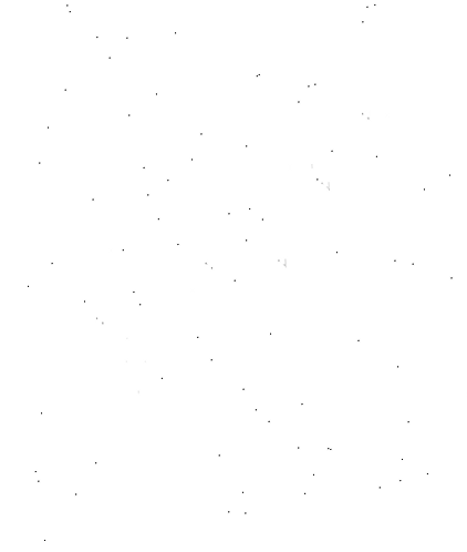 Cc1cc[n+]([O-])c(C)c1C(=O)NCCC(C)N1CCC(N(Cc2cccc(C#N)c2)c2ccc(OS(C)(=O)=O)cc2)CC1